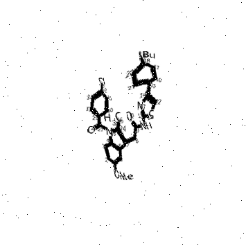 COc1ccc2c(c1)c(CC(=O)Nc1nc(-c3ccc(C(C)(C)C)cc3)cs1)c(C)n2C(=O)c1ccc(Cl)cc1